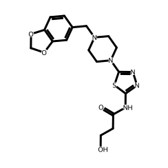 O=C(CCO)Nc1nnc(N2CCN(Cc3ccc4c(c3)OCO4)CC2)s1